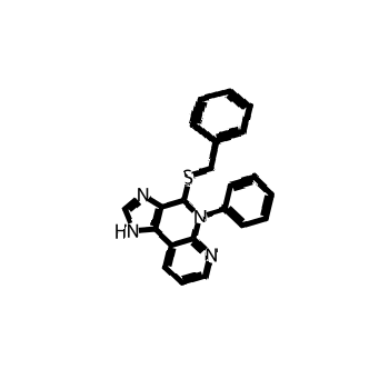 c1ccc(CSC2c3nc[nH]c3-c3cccnc3N2c2ccccc2)cc1